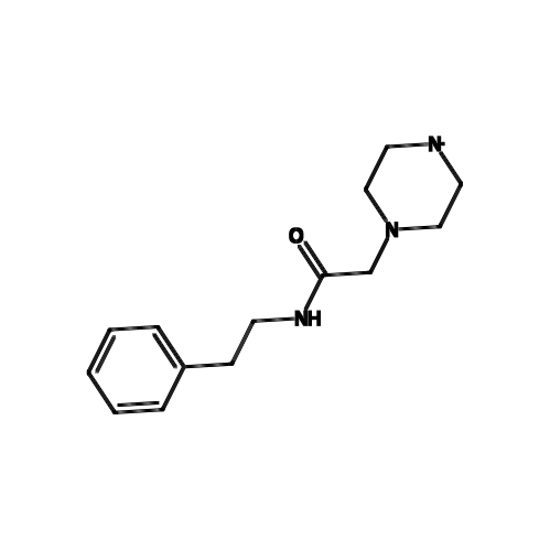 O=C(CN1CC[N]CC1)NCCc1ccccc1